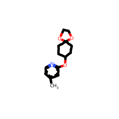 Cc1ccnc(OC2CCC3(CC2)OCCO3)c1